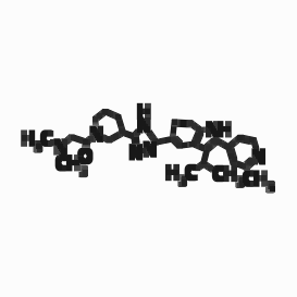 Cc1cc(-c2[nH]c3ccc(-c4nnc(C5CCCN(C(=O)CN(C)C)C5)[nH]4)cc3c2C(C)C)ccn1